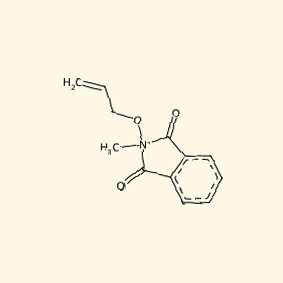 C=CCO[N+]1(C)C(=O)c2ccccc2C1=O